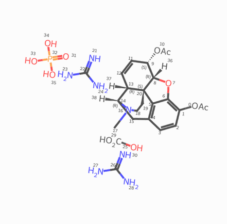 CC(=O)Oc1ccc2c3c1O[C@H]1[C@@H](OC(C)=O)C=C[C@H]4[C@@H](C2)N(C)CC[C@@]341.N=C(N)N.N=C(N)N.O=C(O)O.O=P(O)(O)O